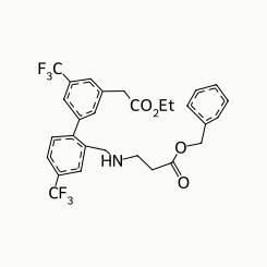 CCOC(=O)Cc1cc(-c2ccc(C(F)(F)F)cc2CNCCC(=O)OCc2ccccc2)cc(C(F)(F)F)c1